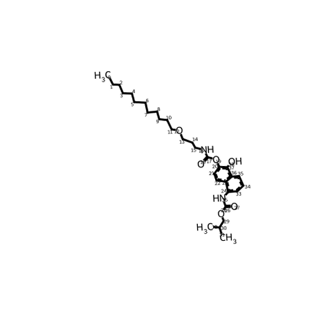 CCCCCCCCCCCCOCCCNC(=O)Oc1ccc2c(NC(=O)OCC(C)C)cccc2c1O